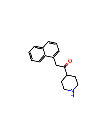 O=C(Cc1cccc2ccccc12)C1CCNCC1